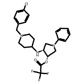 O=C(O[C@H]1CN(c2ccccc2)C[C@@H]1NC1CCN(Cc2ccc(Cl)cc2)CC1)C(F)(F)F